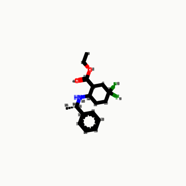 CCOC(=O)C1CC(F)(F)CCC1N[C@@H](C)c1ccccc1